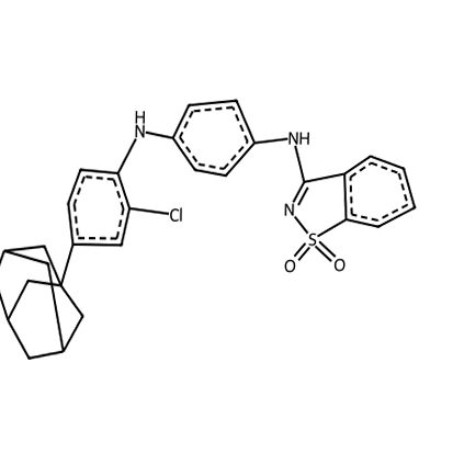 O=S1(=O)N=C(Nc2ccc(Nc3ccc(C45CC6CC(CC(C6)C4)C5)cc3Cl)cc2)c2ccccc21